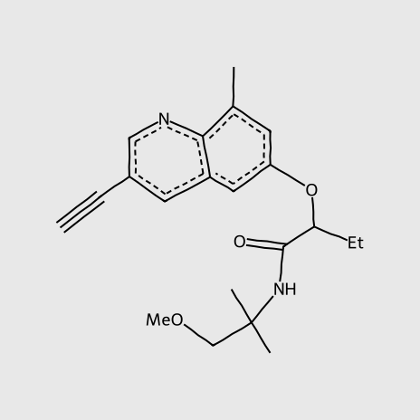 C#Cc1cnc2c(C)cc(OC(CC)C(=O)NC(C)(C)COC)cc2c1